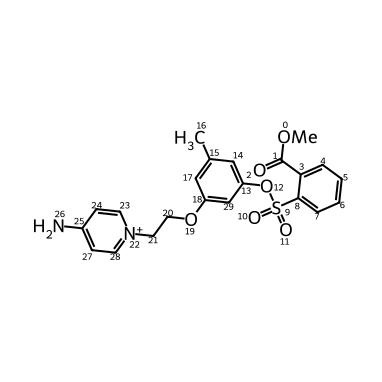 COC(=O)c1ccccc1S(=O)(=O)Oc1cc(C)cc(OCC[n+]2ccc(N)cc2)c1